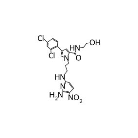 Nc1nc(NCCCn2cc(-c3ccc(Cl)cc3Cl)cc2C(=O)NCCO)ccc1[N+](=O)[O-]